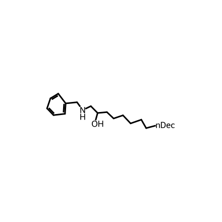 CCCCCCCCCCCCCCCCC(O)CNCc1ccccc1